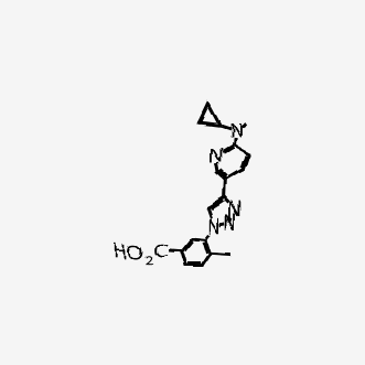 Cc1ccc(C(=O)O)cc1-n1cc(-c2ccc(N(C)C3CC3)nc2)nn1